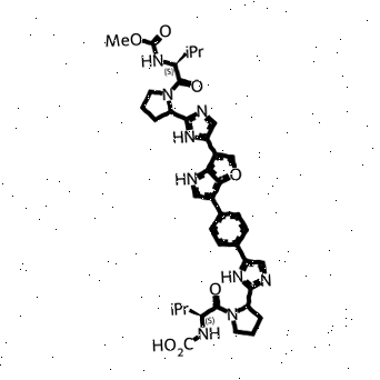 COC(=O)N[C@H](C(=O)N1CCCC1c1ncc(-c2coc3c(-c4ccc(-c5cnc(C6CCCN6C(=O)[C@@H](NC(=O)O)C(C)C)[nH]5)cc4)c[nH]c23)[nH]1)C(C)C